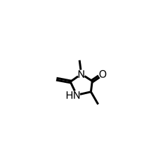 C=C1NC(C)C(=O)N1C